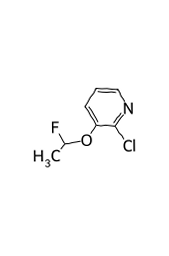 CC(F)Oc1cccnc1Cl